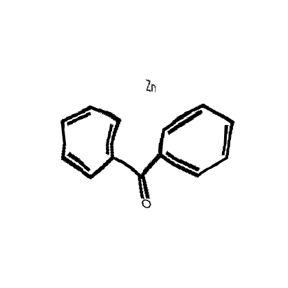 O=C(c1ccccc1)c1ccccc1.[Zn]